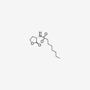 CCCCCCCS(=O)(=O)N[C@H]1CCOC1=O